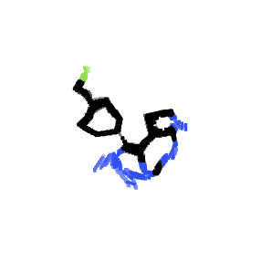 FC[C@H]1CC[C@H](C2=C3c4cc[nH]c4N=CN3NN2)CC1